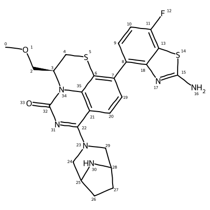 COC[C@H]1CSc2c(-c3ccc(F)c4sc(N)nc34)ccc3c(N4CC5CCC(C4)N5)nc(=O)n1c23